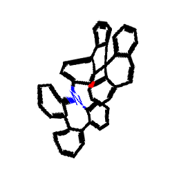 C1=Cc2ccccc2C2(c3ccccc31)c1ccccc1-c1ccc(N3c4ccccc4-c4ccccc4-c4ccccc43)cc12